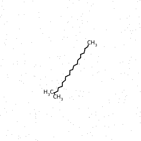 CCCCCCC[CH]CCCCCCCCCCC(C)C